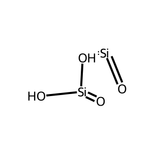 O=[Si].O=[Si](O)O